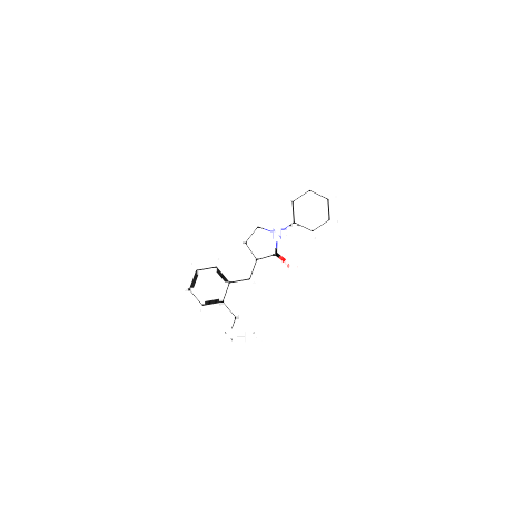 CC(=O)NCc1ccccc1CC1CCN(C2CCCCC2)C1=O